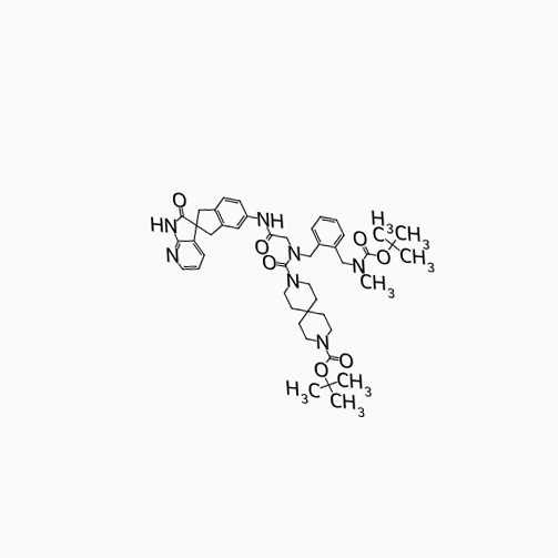 CN(Cc1ccccc1CN(CC(=O)Nc1ccc2c(c1)CC1(C2)C(=O)Nc2ncccc21)C(=O)N1CCC2(CCN(C(=O)OC(C)(C)C)CC2)CC1)C(=O)OC(C)(C)C